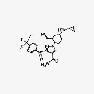 N=C[C@H]1C[C@@H](NC2CC2)CC[C@@H]1n1cc(C(N)=O)c(Nc2ccc(C(F)(F)F)cc2)n1